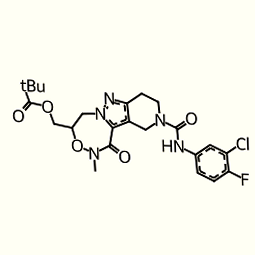 CN1OC(COC(=O)C(C)(C)C)Cn2nc3c(c2C1=O)CN(C(=O)Nc1ccc(F)c(Cl)c1)CC3